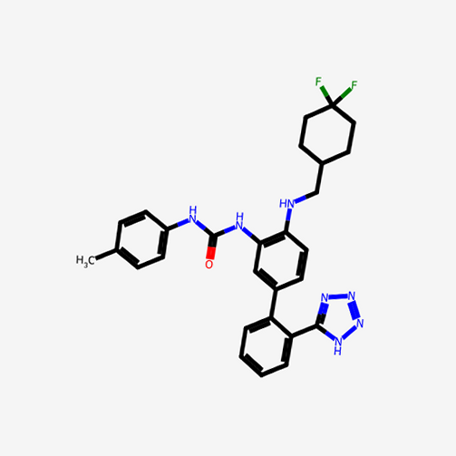 Cc1ccc(NC(=O)Nc2cc(-c3ccccc3-c3nnn[nH]3)ccc2NCC2CCC(F)(F)CC2)cc1